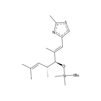 C/C(I)=C/[C@@H](C)[C@H](O[Si](C)(C)C(C)(C)C)/C(C)=C/c1csc(C)n1